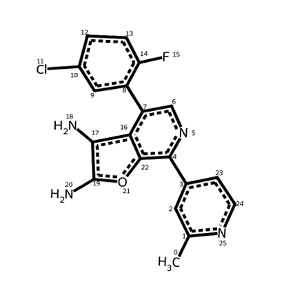 Cc1cc(-c2ncc(-c3cc(Cl)ccc3F)c3c(N)c(N)oc23)ccn1